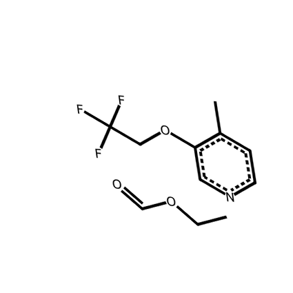 CCOC=O.Cc1ccncc1OCC(F)(F)F